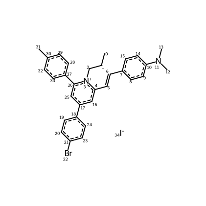 CCC[n+]1c(/C=C/c2ccc(N(C)C)cc2)cc(-c2ccc(Br)cc2)cc1-c1ccc(C)cc1.[I-]